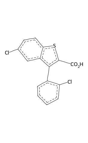 O=C(O)c1sc2ccc(Cl)cc2c1-c1ccccc1Cl